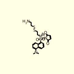 CN(C)c1cccc2c(S(=O)(=O)N(Br)CCSSCCN)cccc12.O=C1C=CC(=O)N1